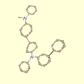 CN(c1ccccc1)c1ccc(-c2ccc(N(c3ccccc3)c3cccc(-c4ccccc4)c3)cc2)cc1